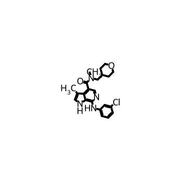 Cc1c[nH]c2c(Nc3cccc(Cl)c3)ncc(C(=O)N(C)CC3CCOCC3)c12